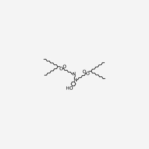 CCCCCCCCC(CCCCCCCC)COC(=O)CCCCCN(C)CCN(CCCCCC(=O)OCC(CCCCCCCC)CCCCCCCC)C1CCC(O)CC1